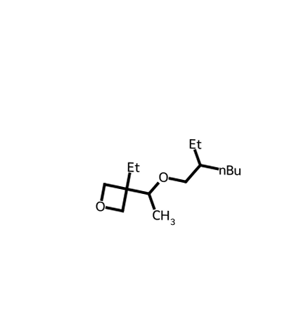 CCCCC(CC)COC(C)C1(CC)COC1